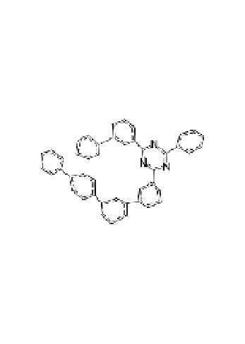 c1ccc(-c2ccc(-c3cccc(-c4cccc(-c5nc(-c6ccccc6)nc(-c6cccc(-c7ccccc7)c6)n5)c4)c3)cc2)cc1